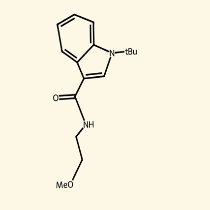 COCCNC(=O)c1cn(C(C)(C)C)c2ccccc12